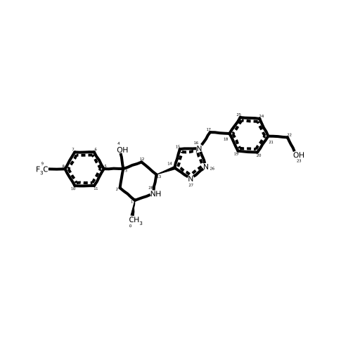 C[C@H]1CC(O)(c2ccc(C(F)(F)F)cc2)C[C@@H](c2cn(Cc3ccc(CO)cc3)nn2)N1